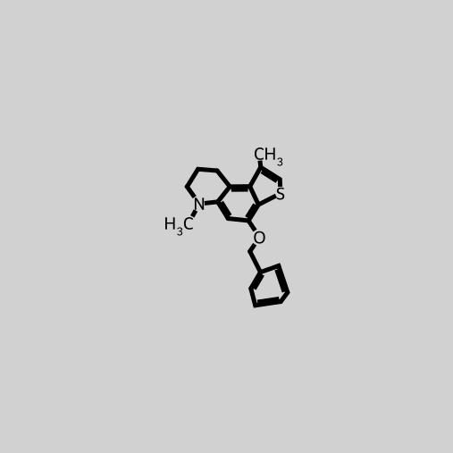 Cc1csc2c(OCc3ccccc3)cc3c(c12)CCCN3C